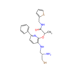 CC(Oc1nc(-c2ccccc2)ccc1NCC(N)CS)C(=O)NCc1cccs1